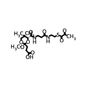 COC1(CCC(=O)O)OCC(C)(C)[C@H](C(=O)NCCC(=O)NCCSC(=O)C(C)=O)O1